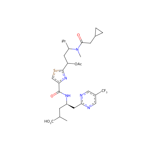 CC(=O)OC(CC(C(C)C)N(C)C(=O)CC1CC1)c1nc(C(=O)N[C@@H](Cc2ncc(C(F)(F)F)cn2)CC(C)C(=O)O)cs1